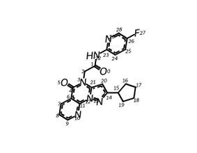 O=C(Cn1c(=O)c2cccnc2n2nc(C3CCCC3)cc12)Nc1ccc(F)cn1